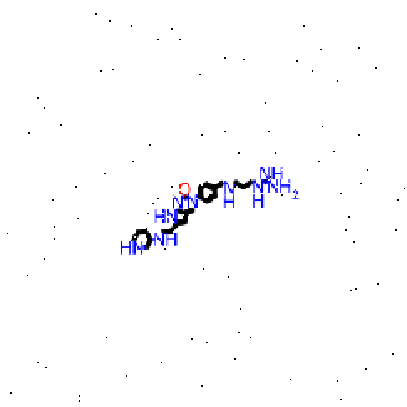 N=C(N)NCCCNCc1ccc(-n2cc3cc(CCN[C@@H]4CCCNC4)[nH]c3nc2=O)cc1